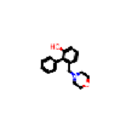 Oc1cc[c]c(CN2CCOCC2)c1-c1ccccc1